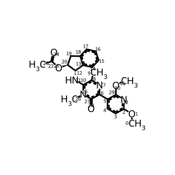 COc1ccc(-c2nc(C)c(N[C@H]3c4ccccc4C[C@@H]3OC(C)=O)n(C)c2=O)c(OC)n1